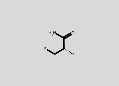 C[C@H](CF)C(N)=O